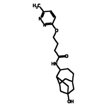 Cc1ccc(OCCCC(=O)NC2CCC3CC4CC(O)(C3)CC42)nn1